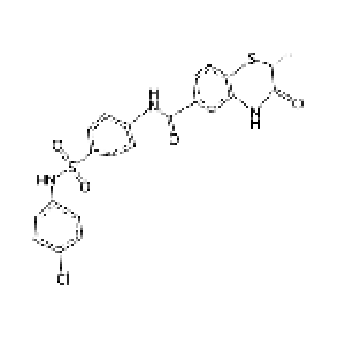 C[C@H]1Sc2ccc(C(=O)Nc3ccc(S(=O)(=O)Nc4ccc(Cl)cc4)cc3)cc2NC1=O